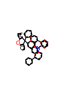 c1ccc(-c2cccc(N(c3ccc4c(c3)-c3ccccc3C43c4ccccc4Oc4ccccc43)c3ccccc3-c3ccccc3-c3ccccc3-c3ccccc3)c2)cc1